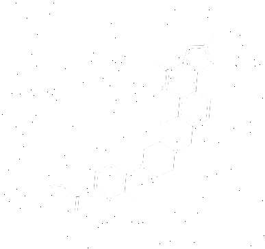 CNC(=O)c1ccc(N2CCN(Cc3ccc4c([nH]c(=O)c5cn(C)nc54)c3F)CC2)c(C)n1